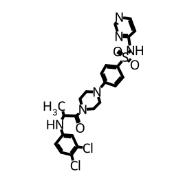 CC(Nc1ccc(Cl)c(Cl)c1)C(=O)N1CCN(c2ccc(S(=O)(=O)Nc3ccncn3)cc2)CC1